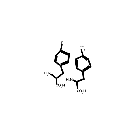 NC(Cc1ccc(C(F)(F)F)cc1)C(=O)O.NC(Cc1ccc(F)cc1)C(=O)O